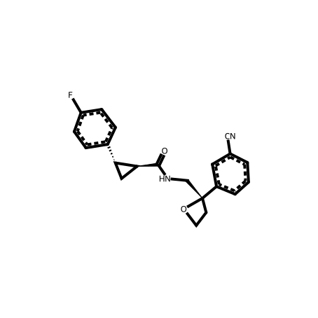 N#Cc1cccc([C@]2(CNC(=O)[C@H]3C[C@@H]3c3ccc(F)cc3)CCO2)c1